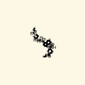 CCOC(=O)N1CCC(NC(=O)NC(=O)c2cccc3c(S(=O)(=O)NC4CCN(C(=O)OCC)CC4)cccc23)CC1